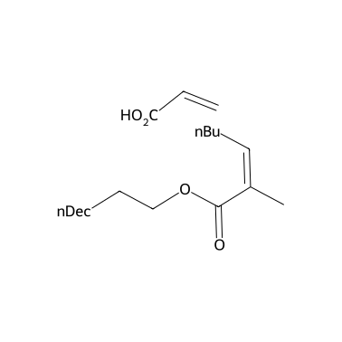 C=CC(=O)O.CCCCC=C(C)C(=O)OCCCCCCCCCCCC